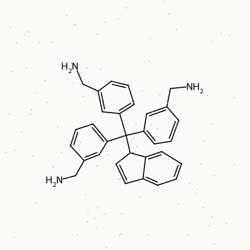 NCc1cccc(C([C]2C=Cc3ccccc32)(c2cccc(CN)c2)c2cccc(CN)c2)c1